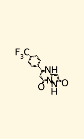 O=c1cc2[nH]c(-c3ccc(C(F)(F)F)cc3)cc(=O)n2[nH]1